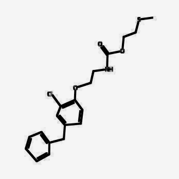 CSCCOC(=O)NCCOc1ccc(Cc2ccccc2)cc1Cl